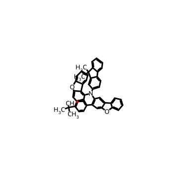 CC(C)(C)c1ccc(-c2cc3oc4ccccc4c3cc2N(c2ccc3c(c2)C(C)(C)c2ccccc2-3)c2cccc3oc4ccccc4c23)cc1